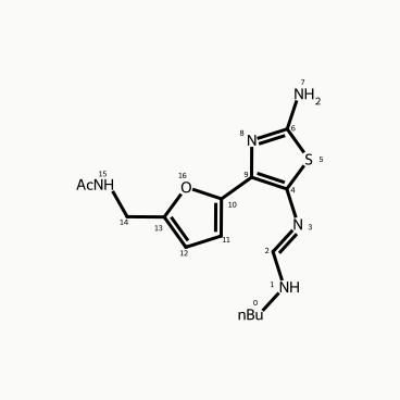 CCCCNC=Nc1sc(N)nc1-c1ccc(CNC(C)=O)o1